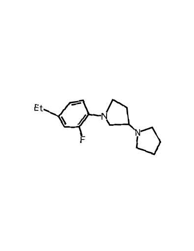 CCc1ccc(N2CCC(N3CCCC3)C2)c(F)c1